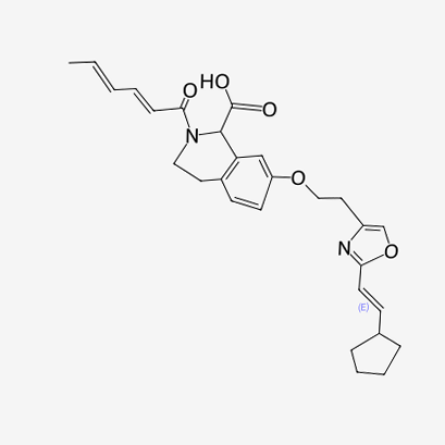 CC=CC=CC(=O)N1CCc2ccc(OCCc3coc(/C=C/C4CCCC4)n3)cc2C1C(=O)O